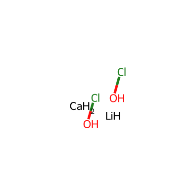 OCl.OCl.[CaH2].[LiH]